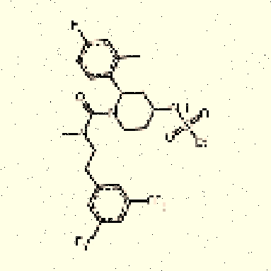 CCS(=O)(=O)N[C@H]1CCN(C(=O)N(C)CCc2cc(C(F)(F)F)cc(C(F)(F)F)c2)[C@@H](c2ccc(F)cc2C)C1